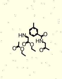 CC(=O)CNC(=O)c1cccc(C)c1.CCOC(=O)C=N.CCOC(C)=O